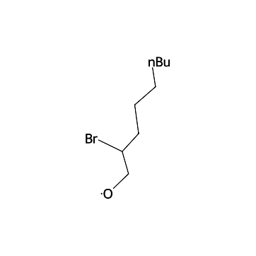 CCCCCCCC(Br)C[O]